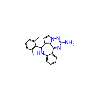 Cc1cccc(C)c1C1Nc2ccccc2-c2nc(N)nn3ccc1c23